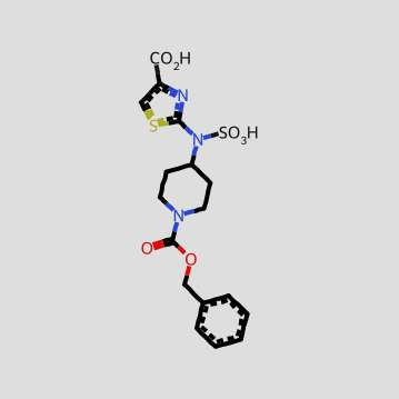 O=C(O)c1csc(N(C2CCN(C(=O)OCc3ccccc3)CC2)S(=O)(=O)O)n1